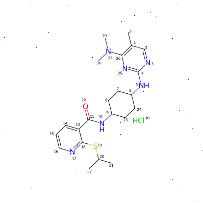 Cc1cnc(NC2CCC(NC(=O)c3cccnc3SC(C)C)CC2)nc1N(C)C.Cl